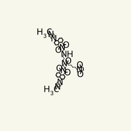 CN1CCN(c2ccc3c4c(cccc24)C(=O)N(CCNCCCN(CCN2C(=O)c4cccc5c(N6CCN(C)CC6)ccc(c45)C2=O)C(=O)CCCCCN2C(=O)C=CC2=O)C3=O)CC1